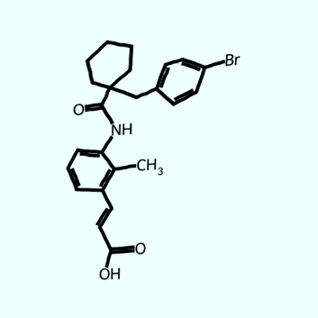 Cc1c(/C=C/C(=O)O)cccc1NC(=O)C1(Cc2ccc(Br)cc2)CCCCC1